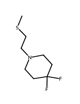 CSCCN1CCC(F)(F)CC1